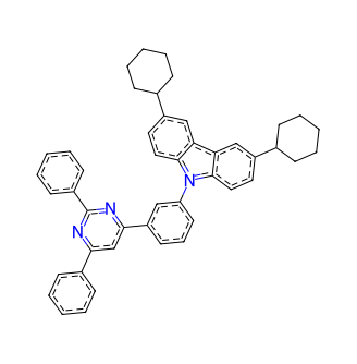 c1ccc(-c2cc(-c3cccc(-n4c5ccc(C6CCCCC6)cc5c5cc(C6CCCCC6)ccc54)c3)nc(-c3ccccc3)n2)cc1